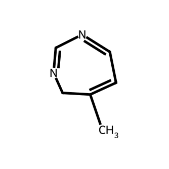 CC1=CC=NC=NC1